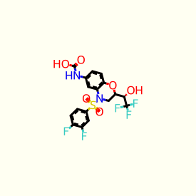 O=C(O)Nc1ccc2c(c1)N(S(=O)(=O)c1ccc(F)c(F)c1)CC([C@@H](O)C(F)(F)F)O2